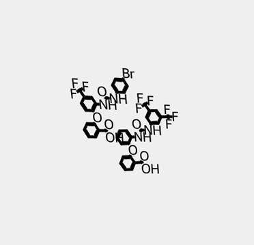 O=C(Nc1cc(C(F)(F)F)cc(C(F)(F)F)c1)Nc1ccccc1Oc1ccccc1C(=O)O.O=C(Nc1ccc(Br)cc1)Nc1cc(C(F)(F)F)ccc1Oc1ccccc1C(=O)O